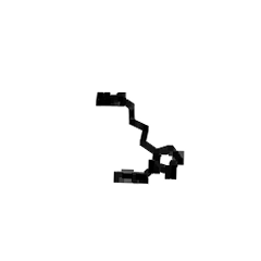 CCCCCCn1nncc1CCCCSC